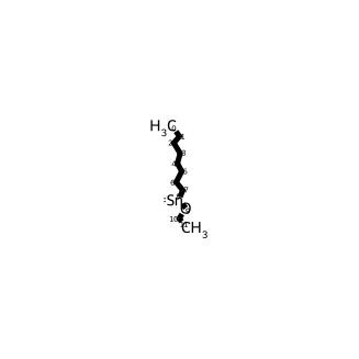 CCCCCCC[CH2][Sn][O]CC